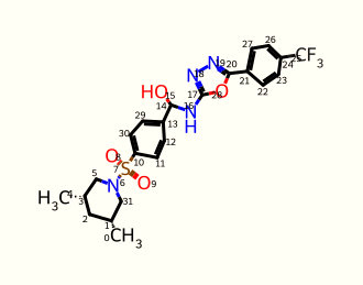 C[C@@H]1C[C@H](C)CN(S(=O)(=O)c2ccc(C(O)Nc3nnc(-c4ccc(C(F)(F)F)cc4)o3)cc2)C1